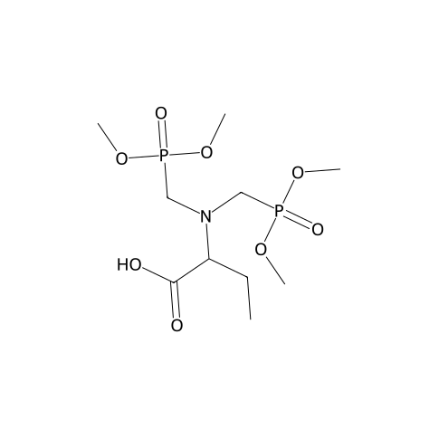 CCC(C(=O)O)N(CP(=O)(OC)OC)CP(=O)(OC)OC